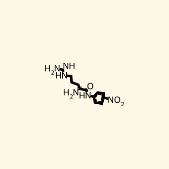 N=C(N)NCCC[C@H](N)C(=O)Nc1ccc([N+](=O)[O-])cc1